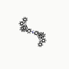 O=C(Nc1ccc(/C=C/c2ccc(NC(=O)[C@@H]3CCCN3C(=O)c3cccc4c3Cc3ccccc3-4)cc2)cc1)[C@@H]1CCCN1C(=O)c1cccc2c1Cc1ccccc1-2